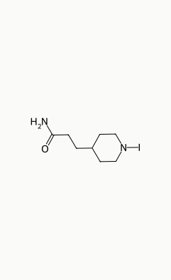 NC(=O)CCC1CCN(I)CC1